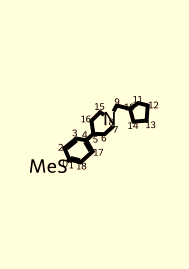 CSc1ccc(C2CCN(CC3CCCC3)CC2)cc1